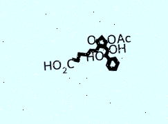 CC(=O)OC1CC(=O)C(CCCCCCC(=O)O)=C1C(O)C(O)c1ccccc1